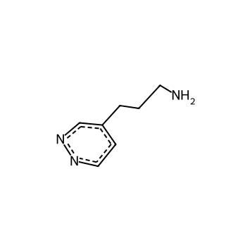 NCCCc1ccnnc1